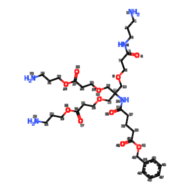 NCCCNC(=O)CCOCC(COCCC(=O)OCCCN)(COCCC(=O)OCCCN)NC(=O)CCCC(=O)OCc1ccccc1